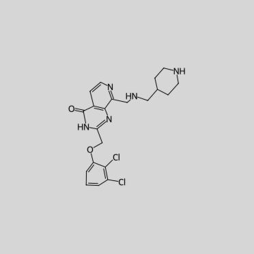 O=c1[nH]c(COc2cccc(Cl)c2Cl)nc2c(CNCC3CCNCC3)nccc12